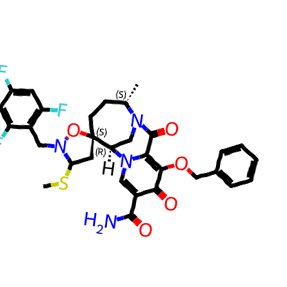 CSC1C[C@]2(CC[C@H](C)N3C[C@H]2n2cc(C(N)=O)c(=O)c(OCc4ccccc4)c2C3=O)ON1Cc1c(F)cc(F)cc1F